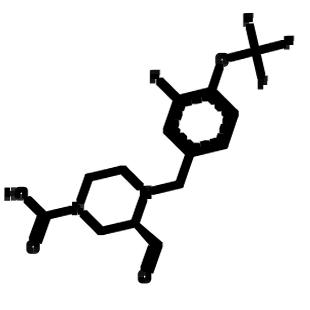 O=C[C@H]1CN(C(=O)O)CCN1Cc1ccc(OC(F)(F)F)c(F)c1